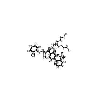 CCCCCN(CCCCC)Cc1nc(NCCc2ccccc2Cl)c2ccc(-c3ncccc3C(F)(F)F)cc2n1